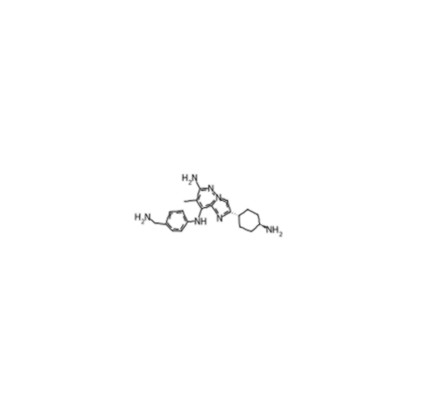 Cc1c(N)nn2cc([C@H]3CC[C@H](N)CC3)nc2c1Nc1ccc(CN)cc1